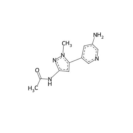 CC(=O)Nc1cc(-c2cncc(N)c2)n(C)n1